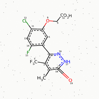 Cc1c(C(F)(F)F)c(-c2cc(OCC(=O)O)c(Cl)cc2F)n[nH]c1=O